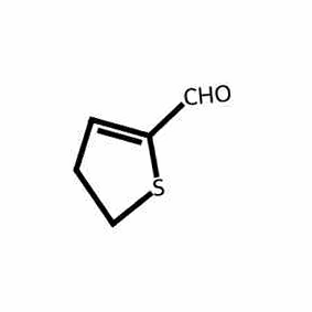 O=CC1=CCCS1